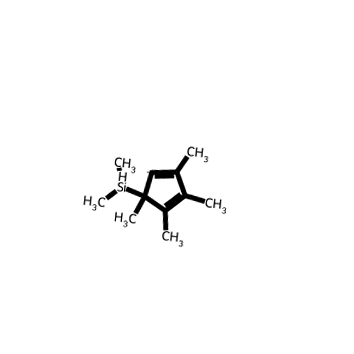 CC1=[C]C(C)([SiH](C)C)C(C)=C1C